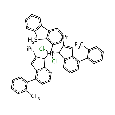 CC(C)C1=Cc2c(-c3ccccc3C(F)(F)F)cccc2[CH]1[Hf]([Cl])([Cl])([c]1cccc2c1[SiH2]c1ccccc1-2)[CH]1C(C(C)C)=Cc2c(-c3ccccc3C(F)(F)F)cccc21